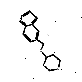 Cl.c1ccc2cc(COC3CCNCC3)ccc2c1